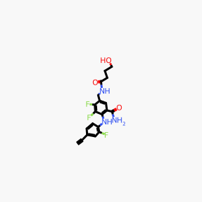 C#Cc1ccc(Nc2c(C(N)=O)cc(CNC(=O)CCCO)c(F)c2F)c(F)c1